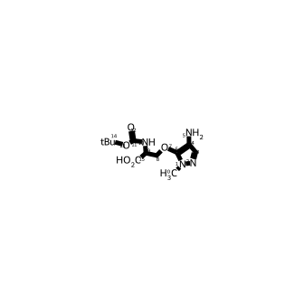 Cn1ncc(N)c1OCC(NC(=O)OC(C)(C)C)C(=O)O